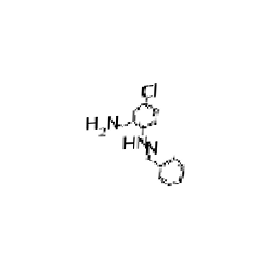 NCc1cc(Cl)ccc1NN=Cc1ccccc1